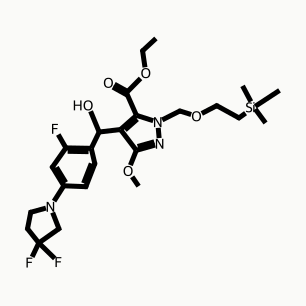 CCOC(=O)c1c(C(O)c2ccc(N3CCC(F)(F)C3)cc2F)c(OC)nn1COCC[Si](C)(C)C